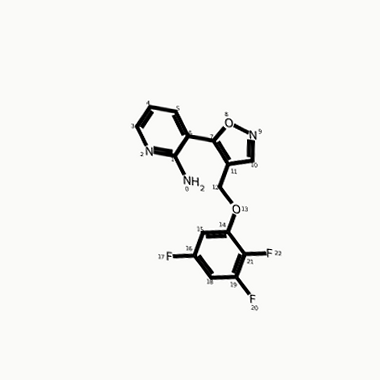 Nc1ncccc1-c1oncc1COc1cc(F)cc(F)c1F